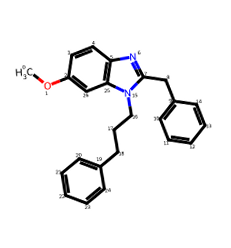 COc1ccc2nc(Cc3ccccc3)n(CCCc3ccccc3)c2c1